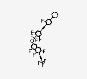 Fc1cc(C2CCCCC2)ccc1C#Cc1cc(F)c(C(F)(F)Oc2cc(F)c3c(F)c(C#CC(F)(F)F)c(F)cc3c2)c(F)c1